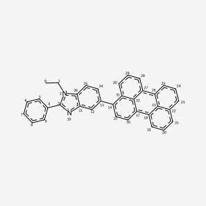 CCn1c(-c2ccccc2)nc2cc(-c3ccc4c5cccc6cccc(c7cccc3c74)c65)ccc21